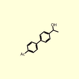 CC(=O)c1ccc(-c2ccc(C(C)O)cc2)cc1